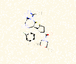 Cc1nnc2n1-c1sc3c(c1[C@H](c1ccccc1Cl)NC2)C[C@H](C(=O)N1C[C@H](C)O[C@@H](C)C1)C3